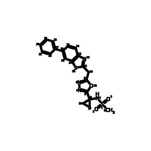 CS(=O)(=O)NC1(c2nnc(Cc3nc4ccc(-c5ccccc5)cc4s3)o2)CC1